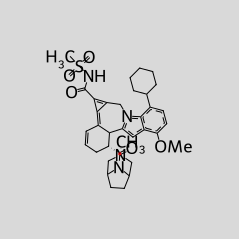 COc1ccc(C2CCCCC2)c2c1cc1n2CC2=C(C(=O)NS(C)(=O)=O)C2=C2C=CC[C@@H](C(=O)N3C4CCC3CN(C)C4)C21